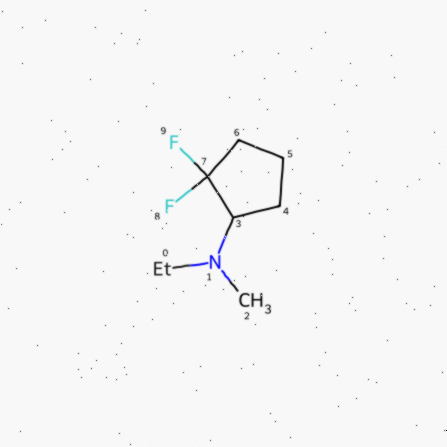 CCN(C)C1CCCC1(F)F